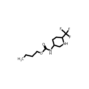 CCCCOC(=O)NC1CCC(C(F)(F)F)NC1